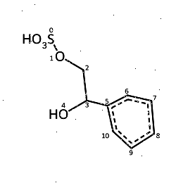 O=S(=O)(O)OCC(O)c1ccccc1